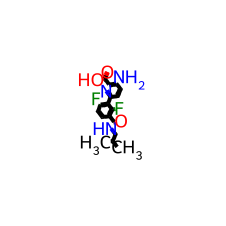 CC(C)CNC(=O)c1ccc(F)c(-c2ccc(N)c(C(=O)O)n2)c1F